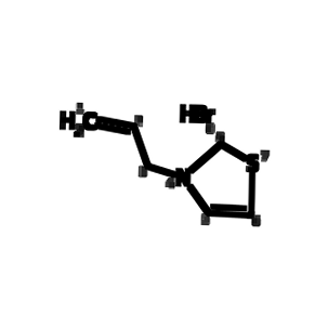 Br.C=CCN1C=CSC1